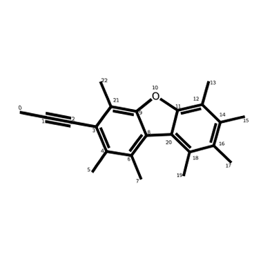 CC#Cc1c(C)c(C)c2c(oc3c(C)c(C)c(C)c(C)c32)c1C